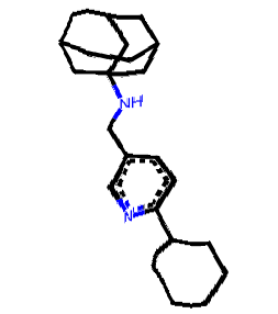 c1cc(C2CCCCC2)ncc1CNC12CC3CC(CC(C3)C1)C2